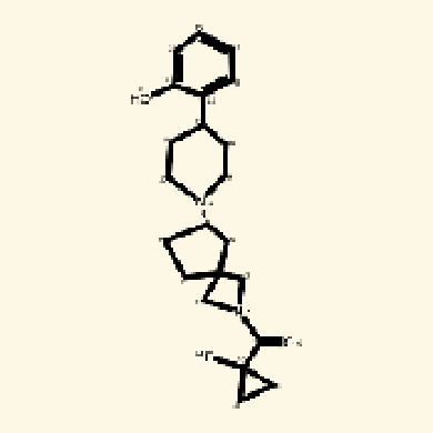 O=C(N1CC2(CC[C@H](N3CCC(c4ccccc4O)CC3)C2)C1)C1(F)CC1